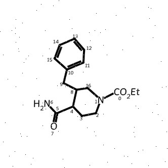 CCOC(=O)N1CCC(C(N)=O)C(Cc2ccccc2)C1